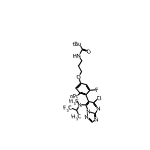 CCCc1cc(OCCCNC(=O)C(C)(C)C)cc(F)c1-c1c(Cl)nc2ncnn2c1N(C)C(C)C(F)(F)F